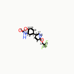 O=c1[nH]c2cc(-c3ccc(OCC(F)(F)F)nc3)ccc2o1